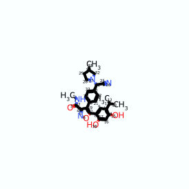 CNC(=O)c1noc(-c2cc(C(C)C)c(O)cc2O)c1-c1ccc(C(C#N)N2CCC(C)C2)cc1